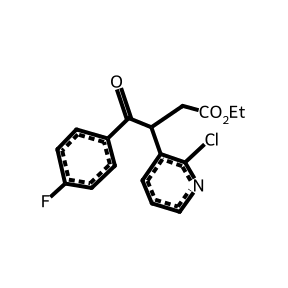 CCOC(=O)CC(C(=O)c1ccc(F)cc1)c1cccnc1Cl